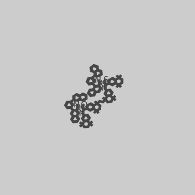 CC1(C)CCC(C)(C)c2cc(N3c4c5c(cc6ccccc46)-c4cccc6c7ccc8ccccc8c7n(c46)B5c4oc5cc6c(cc5c43)C(C)(C)CCC6(C)CCC3(C)CCC(C)(C)c4ccc(N5c6cc7ccccc7c7c6B(c6sc8cc9c(cc8c65)C(C)(C)CCC9(C)C)n5c6ccc8ccccc8c6c6cccc-7c65)cc43)ccc21